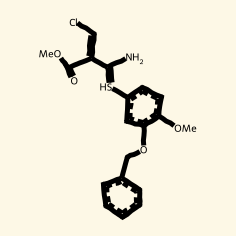 COC(=O)C(=CCl)C(N)=[SH]c1ccc(OC)c(OCc2ccccc2)c1